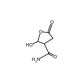 NC(=O)C1CC(=O)OC1O